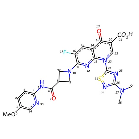 COc1ccc(NC(=O)C2CN(c3nc4c(cc3F)c(=O)c(C(=O)O)cn4-c3nc(N(C)C)ns3)C2)nc1